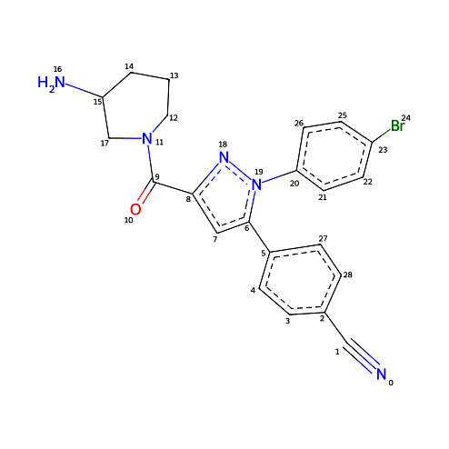 N#Cc1ccc(-c2cc(C(=O)N3CCCC(N)C3)nn2-c2ccc(Br)cc2)cc1